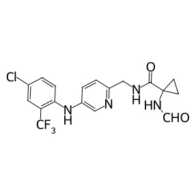 O=CNC1(C(=O)NCc2ccc(Nc3ccc(Cl)cc3C(F)(F)F)cn2)CC1